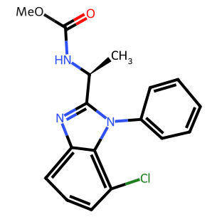 COC(=O)N[C@@H](C)c1nc2cccc(Cl)c2n1-c1ccccc1